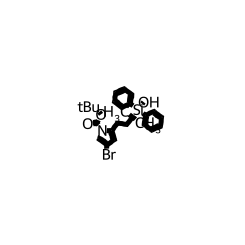 CC(C)(C)OC(=O)n1cc(Br)cc1CCC(C)(C)[Si](O)(c1ccccc1)c1ccccc1